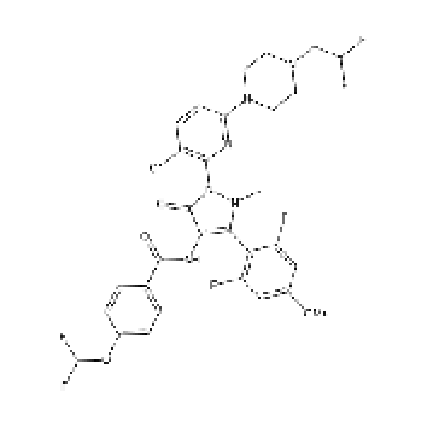 COc1cc(F)c(-c2c(NC(=O)c3ccc(OC(F)F)cc3)c(=O)n(-c3nc(N4CCN(CC(F)F)CC4)ccc3Cl)n2C)c(F)c1